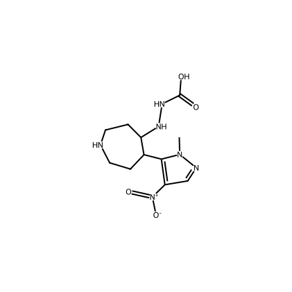 Cn1ncc([N+](=O)[O-])c1C1CCNCCC1NNC(=O)O